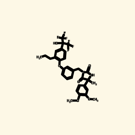 CCCc1cc(C(O)(C(F)(F)F)C(F)(F)F)ccc1Oc1cccc(CN2C(=O)NC(C)(c3ccc(OC)c(OC)c3)C2=O)c1